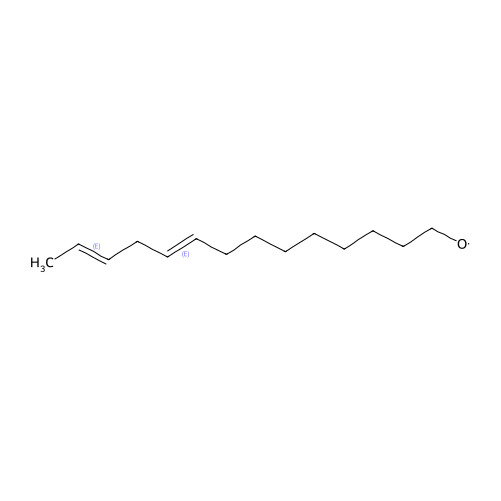 C/C=C/C/C=C/CCCCCCCC[O]